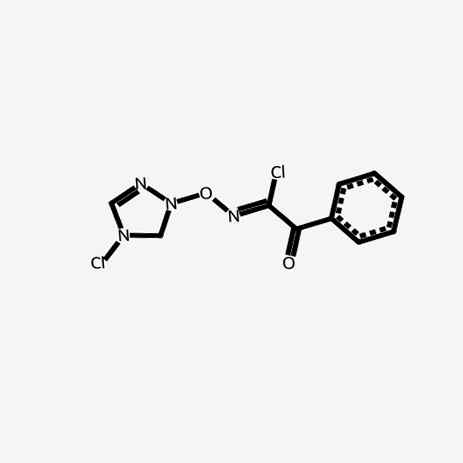 O=C(C(Cl)=NON1CN(Cl)C=N1)c1ccccc1